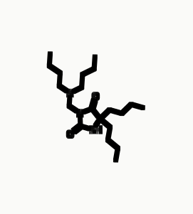 CCCCN(CCCC)CN1C(=O)NC(CCCC)(CCCC)C1=O